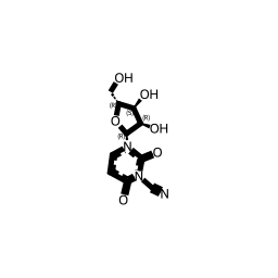 N#Cn1c(=O)ccn([C@@H]2O[C@H](CO)[C@@H](O)[C@H]2O)c1=O